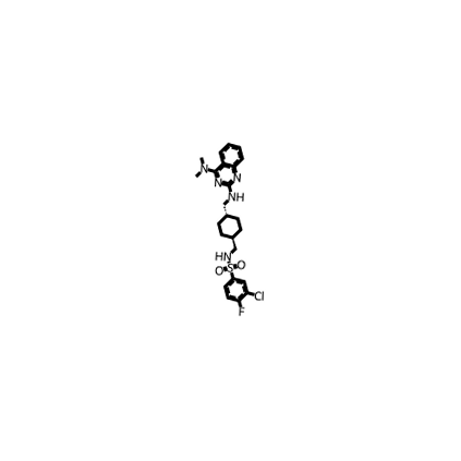 CN(C)c1nc(NC[C@H]2CC[C@H](CNS(=O)(=O)c3ccc(F)c(Cl)c3)CC2)nc2ccccc12